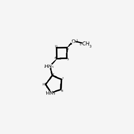 CO[C@H]1C[C@@H](NC2CCNC2)C1